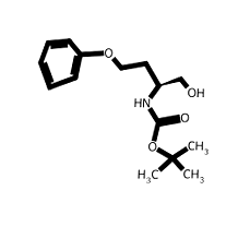 CC(C)(C)OC(=O)N[C@H](CO)CCOc1ccccc1